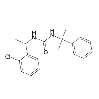 CC(NC(=O)NC(C)(C)c1ccccc1)c1ccccc1Cl